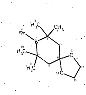 CC(C)B1C(C)(C)CC2(CC1(C)C)OCCO2